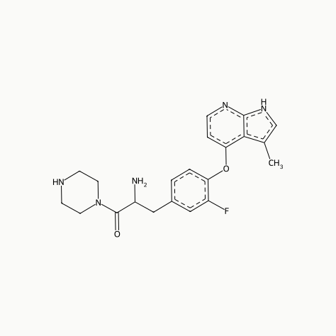 Cc1c[nH]c2nccc(Oc3ccc(CC(N)C(=O)N4CCNCC4)cc3F)c12